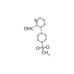 CS(=O)(=O)c1ccc(-c2cccnc2C=O)cc1